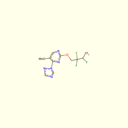 COc1cnc(OCC(F)(F)C(F)C(F)(F)F)nc1-n1cncn1